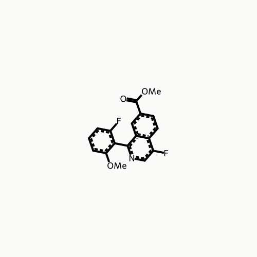 COC(=O)c1ccc2c(F)cnc(-c3c(F)cccc3OC)c2c1